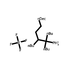 CCCCCCCCCCCCC(CCCC)C([PH3+])(CCCC)CCCC.F[B-](F)(F)F